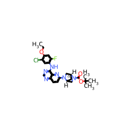 CCOc1cc(F)c(Nc2ncnc3ccc(N4C[C@@H]5C[C@H]4CN5C(=O)OC(C)(C)C)nc23)cc1Cl